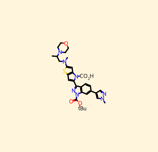 CC(CN(C)c1cc2c(cc(-c3nn(C(=O)OC(C)(C)C)c4cc(-c5cnn(C)c5)ccc34)n2C(=O)O)s1)N1CCOCC1